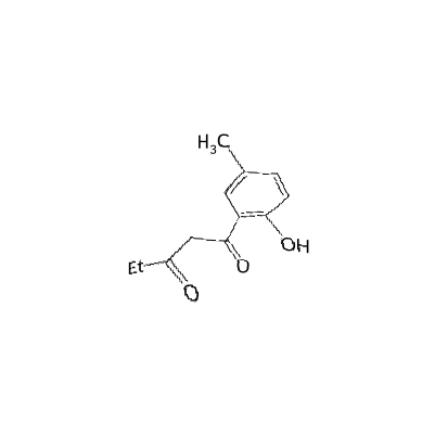 CCC(=O)CC(=O)c1cc(C)ccc1O